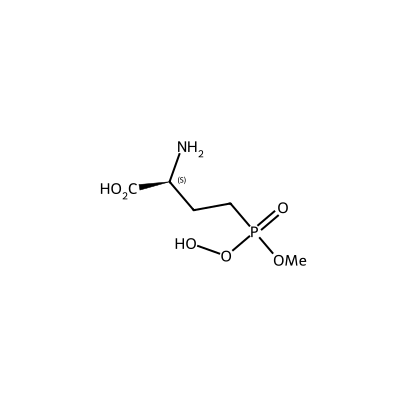 COP(=O)(CC[C@H](N)C(=O)O)OO